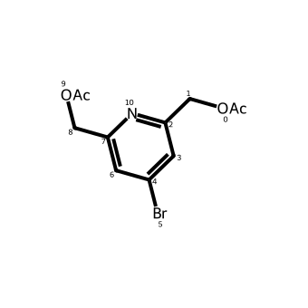 CC(=O)OCc1cc(Br)cc(COC(C)=O)n1